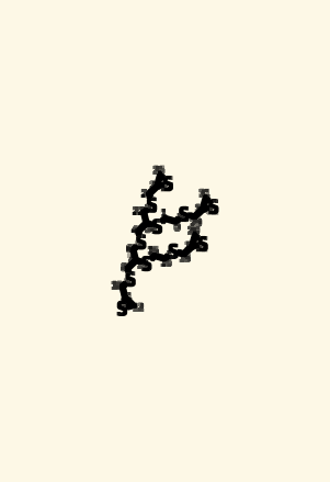 C(CSC(CSCC(CSCC1CS1)SCCSCC1CS1)CSCC1CS1)SCC1CS1